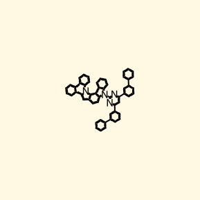 c1ccc(-c2cccc(-c3cc(-c4cccc(-c5ccccc5)c4)nc(-n4c5ccccc5c5c4ccc4cc6c7ccccc7c7ccccc7n6c45)n3)c2)cc1